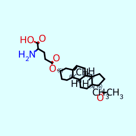 CC(=O)[C@H]1CC[C@H]2[C@@H]3CC=C4C[C@@H](OC(=O)CCC(N)C(=O)O)CC[C@]4(C)[C@H]3CC[C@]12C